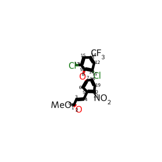 COC(=O)C=Cc1cc(Oc2c(Cl)cc(C(F)(F)F)cc2Cl)ccc1[N+](=O)[O-]